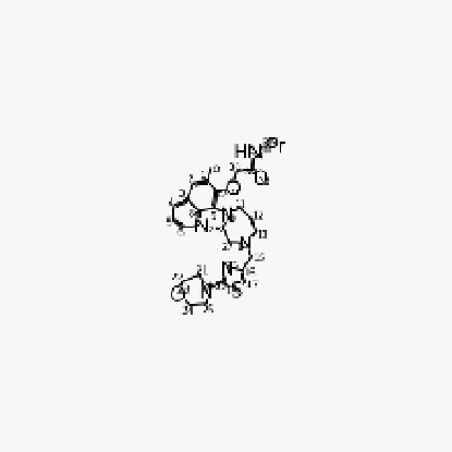 Cc1cc2cccnc2c(N2CCCN(Cc3csc(N4CCOCC4)n3)CC2)c1OCC(=O)NC(C)C